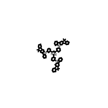 CC1(C)c2ccccc2-c2cc3c(cc21)c1ccccc1n3-c1cccc(-c2cc(-c3cccc(-n4c5ccccc5c5cc6c(cc54)-c4ccccc4C6(C)C)c3)nc(-c3cccc(-n4c5ccccc5c5cc6c(cc54)-c4ccccc4C6(C)C)c3)n2)c1